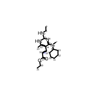 CCNC1N=C(N(C)C2CCCCC2)C(/C=C/C(=O)OCC)=C(C)N1